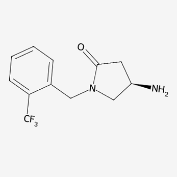 N[C@@H]1CC(=O)N(Cc2ccccc2C(F)(F)F)C1